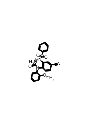 COc1ccccc1N(C(N)=O)c1ccc(C#N)cc1NS(=O)(=O)c1ccccc1